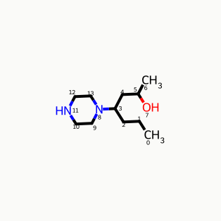 CCCC(CC(C)O)N1CCNCC1